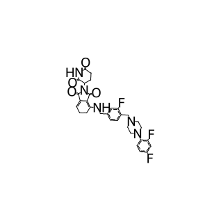 O=C1CCC(N2C(=O)C3=CCCC(NCc4ccc(CN5CCN(c6ccc(F)cc6F)CC5)c(F)c4)=C3C2=O)C(=O)N1